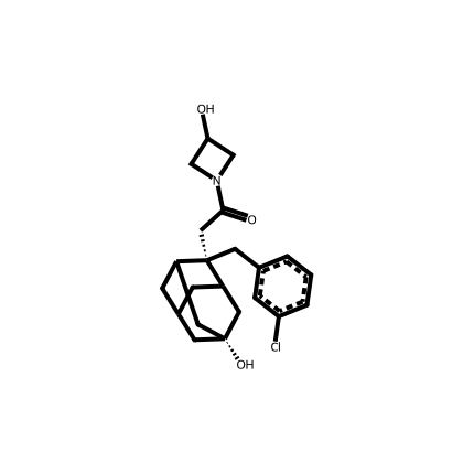 O=C(C[C@]1(Cc2cccc(Cl)c2)C2CC3CC1C[C@](O)(C3)C2)N1CC(O)C1